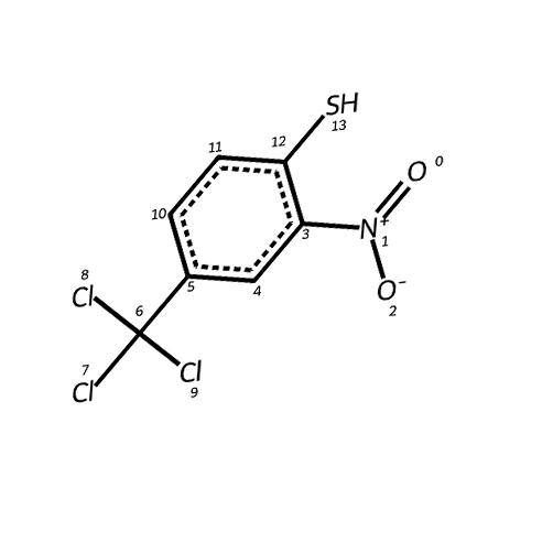 O=[N+]([O-])c1cc(C(Cl)(Cl)Cl)ccc1S